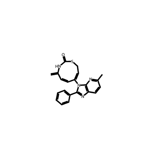 C=C1/C=C\C(n2c(-c3ccccc3)nc3ccc(C)nc32)=C/CSC(=O)N1